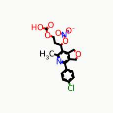 Cc1nc(-c2ccc(Cl)cc2)c2c(c1C(CCOC(=O)O)O[N+](=O)[O-])COC2